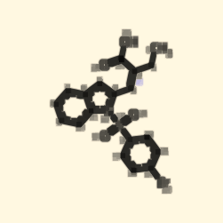 CC/C(=C/c1cc2ccccc2n1S(=O)(=O)c1ccc(Br)cc1)C(=O)O